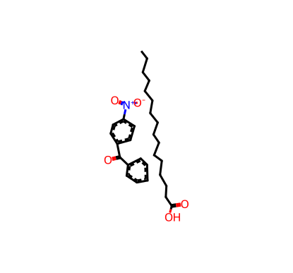 CCCCCCCCCCCCCCCC(=O)O.O=C(c1ccccc1)c1ccc([N+](=O)[O-])cc1